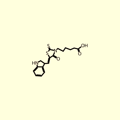 O=C(O)CCCCCN1C(=O)/C(=C/C2CNc3ccccc32)SC1=S